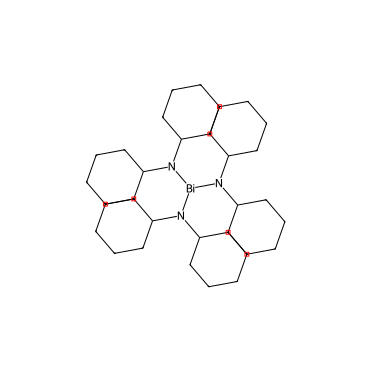 C1CCC([N](C2CCCCC2)[Bi]([N](C2CCCCC2)C2CCCCC2)[N](C2CCCCC2)C2CCCCC2)CC1